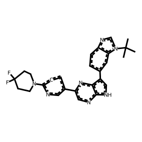 CC(C)(C)n1cnc2ccc(-c3c[nH]c4ncc(-c5ccc(N6CCC(F)(F)CC6)nc5)nc34)cc21